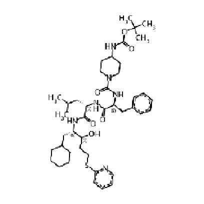 CC(C)C[C@H](NC(=O)[C@H](Cc1ccccc1)NC(=O)N1CCC(NC(=O)OC(C)(C)C)CC1)C(=O)N[C@@H](CC1CCCCC1)[C@@H](O)CCSc1ccccn1